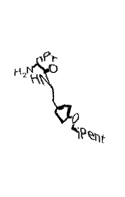 CCCC(C)COc1ccc(CCNC(=O)[C@H](N)CCC)cc1